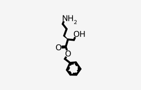 NCCC[C@@H](CO)C(=O)OCc1ccccc1